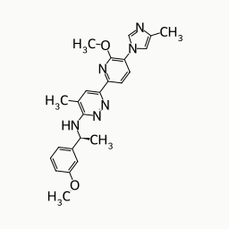 COc1cccc([C@H](C)Nc2nnc(-c3ccc(-n4cnc(C)c4)c(OC)n3)cc2C)c1